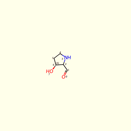 O=[C]C1NCC[C@@H]1O